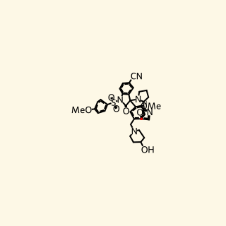 COc1ccc(S(=O)(=O)N2C(=O)C(c3cc(CN4CCC(O)CC4)ccc3OC)(N3CCC[C@H]3c3ncco3)c3cc(C#N)ccc32)cc1